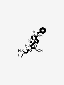 CC(C)CC(=O)O[C@H]1[C@@H](O)[C@](C#N)(c2ccc3c(NC(O)c4ccccc4)ncnn23)O[C@@H]1CO